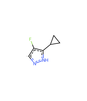 Fc1[c]n[nH]c1C1CC1